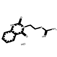 Cl.N=C(N)SCCn1c(=O)[nH]c2ccccc2c1=O